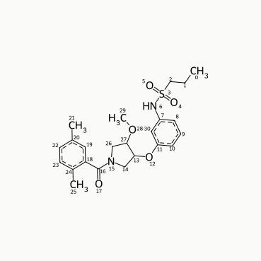 CCCS(=O)(=O)Nc1cccc(OC2CN(C(=O)c3cc(C)ccc3C)CC2OC)c1